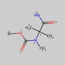 CC(C)OC(=O)N(C)C(C)(C)C([NH])=O